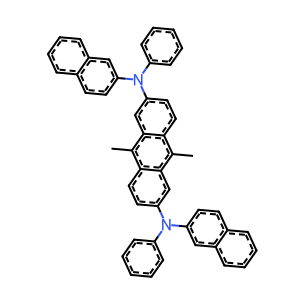 Cc1c2ccc(N(c3ccccc3)c3ccc4ccccc4c3)cc2c(C)c2ccc(N(c3ccccc3)c3ccc4ccccc4c3)cc12